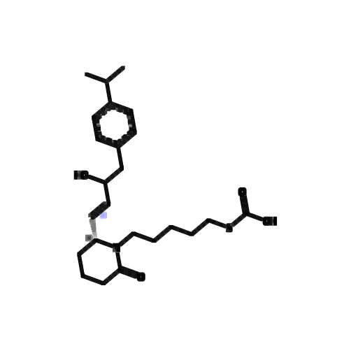 CC(C)c1ccc(CC(O)/C=C/[C@H]2CCCC(=O)N2CCCCCSC(=O)O)cc1